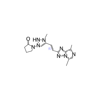 Cc1ncc(C)n2nc(/C=C/C3=CN(N4CCCC4=O)NN3C)nc12